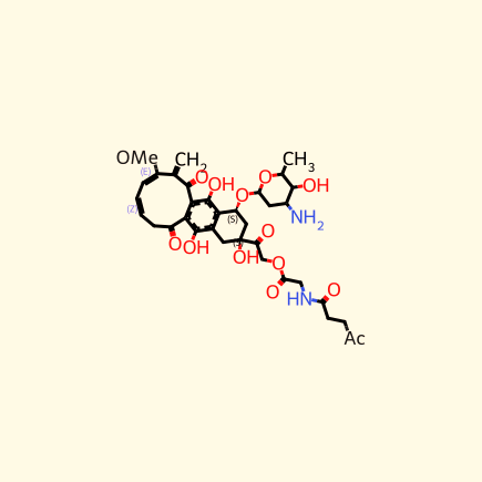 C=C1C(=O)c2c(O)c3c(c(O)c2C(=O)C/C=C\C=C/1OC)C[C@@](O)(C(=O)COC(=O)CNC(=O)CCC(C)=O)C[C@@H]3OC1CC(N)C(O)C(C)O1